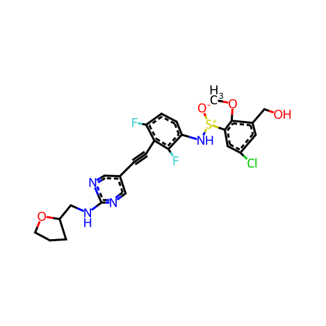 COc1c(CO)cc(Cl)cc1[S+]([O-])Nc1ccc(F)c(C#Cc2cnc(NCC3CCCO3)nc2)c1F